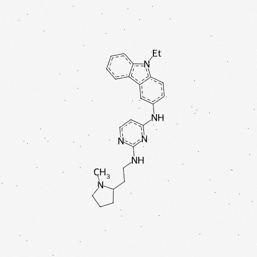 CCn1c2ccccc2c2cc(Nc3ccnc(NCCC4CCCN4C)n3)ccc21